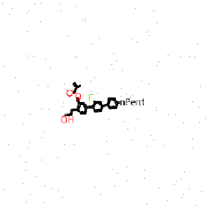 C=C(C)C(=O)OCc1cc(-c2ccc(-c3ccc(CCCCC)cc3)cc2F)ccc1CCCO